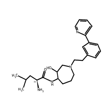 CC(C)C[C@H](N)C(=O)NC1CCCN(CCc2cccc(-c3ccccn3)c2)CC1O